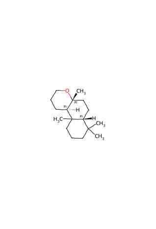 CC1(C)CCCC2(C)[C@@H]1CC[C@@]1(C)OCCC[C@H]21